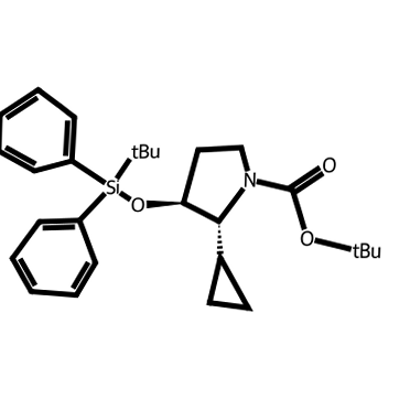 CC(C)(C)OC(=O)N1CC[C@H](O[Si](c2ccccc2)(c2ccccc2)C(C)(C)C)[C@H]1C1CC1